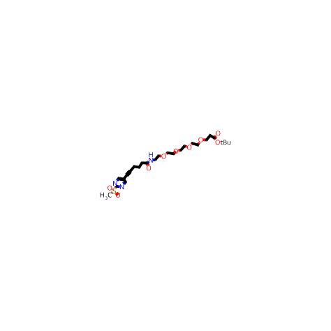 CC(C)(C)OC(=O)CCOCCOCCOCCOCCNC(=O)CCCC#Cc1cnc(S(C)(=O)=O)nc1